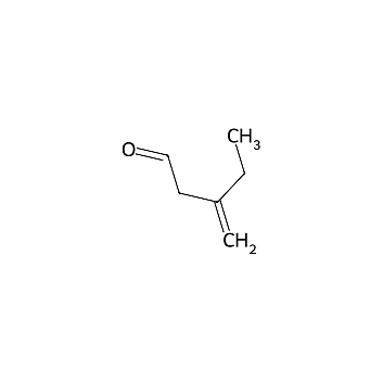 C=C(CC)CC=O